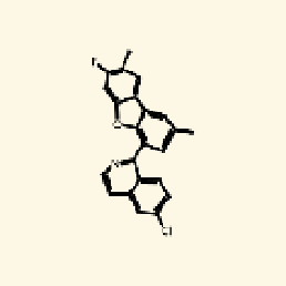 Cc1cc(-c2nccc3cc(Cl)ccc23)c2oc3cc(F)c(C)cc3c2c1